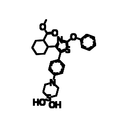 COC(=O)C1CCCCC1c1nc(Oc2ccccc2)sc1-c1ccc(N2CCS(O)(O)CC2)cc1